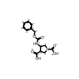 O=C(NC1CN(C(=O)O)CC1C(=O)O)OCc1ccccc1